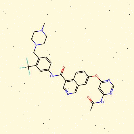 CC(=O)Nc1cc(Oc2ccc3c(C(=O)Nc4ccc(CN5CCN(C)CC5)c(C(F)(F)F)c4)cncc3c2)ncn1